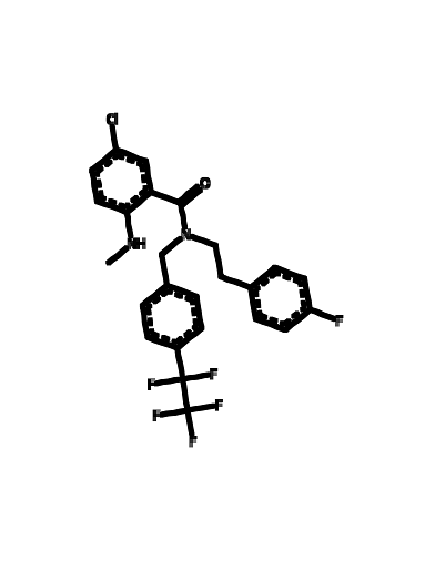 CNc1ccc(Cl)cc1C(=O)N(CCc1ccc(F)cc1)Cc1ccc(C(F)(F)C(F)(F)F)cc1